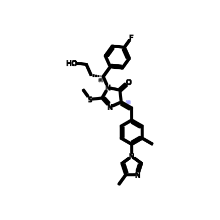 CSC1=N/C(=C\c2ccc(-n3cnc(C)c3)c(C)c2)C(=O)N1[C@H](CCO)c1ccc(F)cc1